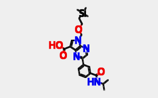 CC(C)NC(=O)c1cccc(-c2cnc3c(n2)c(C(=O)O)cn3COCC[Si](C)(C)C)c1